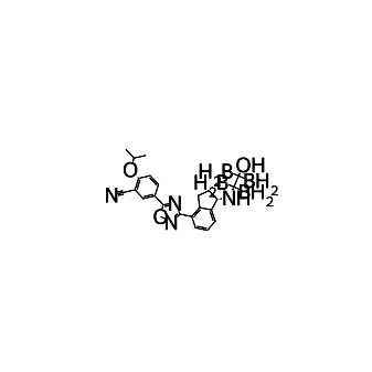 BC(B)(O)C(B)(B)N[C@H]1CCc2c(-c3noc(-c4ccc(OC(C)C)c(C#N)c4)n3)cccc21